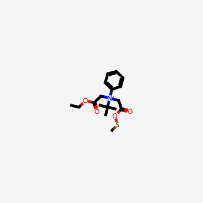 CCOC(=O)C[N+](CC(=O)OSC)(c1ccccc1)C(C)(C)C